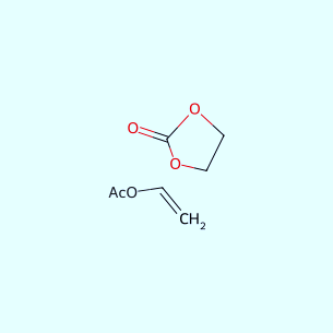 C=COC(C)=O.O=C1OCCO1